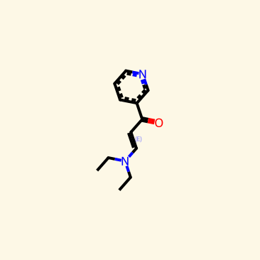 CCN(/C=C/C(=O)c1cccnc1)CC